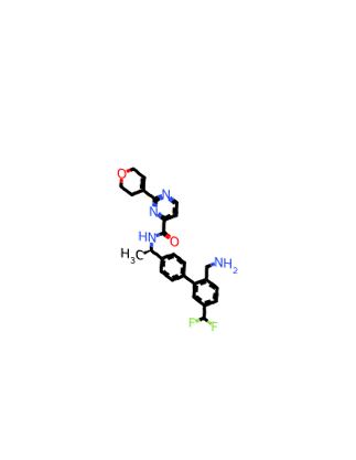 C[C@@H](NC(=O)c1ccnc(C2=CCOCC2)n1)c1ccc(-c2cc(C(F)F)ccc2CN)cc1